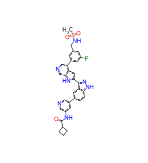 CS(=O)(=O)NCc1cc(F)cc(-c2cncc3[nH]c(-c4n[nH]c5ccc(-c6cncc(NC(=O)C7CCC7)c6)cc45)cc23)c1